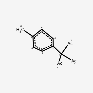 CC(=O)C(C(C)=O)(C(C)=O)c1ccc(C)cc1